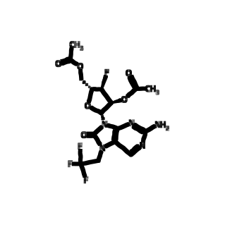 CC(=O)OC[C@H]1O[C@@H](n2c(=O)n(CC(F)(F)F)c3cnc(N)nc32)[C@H](OC(C)=O)[C@@H]1F